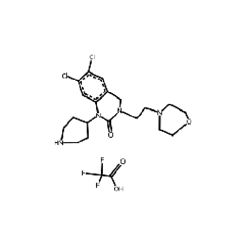 O=C(O)C(F)(F)F.O=C1N(CCN2CCOCC2)Cc2cc(Cl)c(Cl)cc2N1C1CCNCC1